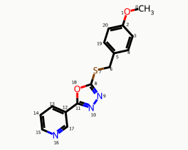 COc1ccc(CSc2nnc(-c3cccnc3)o2)cc1